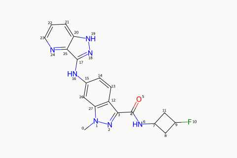 Cn1nc(C(=O)NC2CC(F)C2)c2ccc(Nc3n[nH]c4cccnc34)cc21